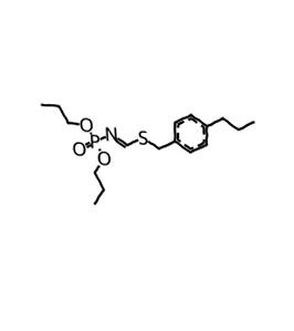 CCCOP(=O)(/N=C/SCc1ccc(CCC)cc1)OCCC